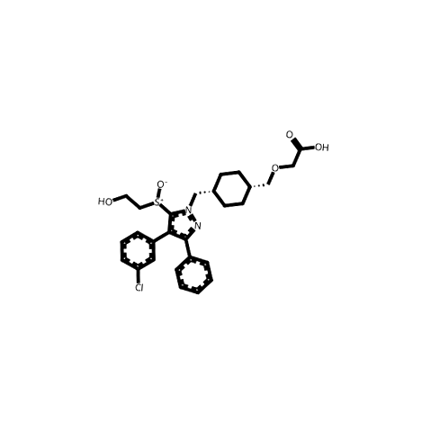 O=C(O)COC[C@H]1CC[C@@H](Cn2nc(-c3ccccc3)c(-c3cccc(Cl)c3)c2[S+]([O-])CCO)CC1